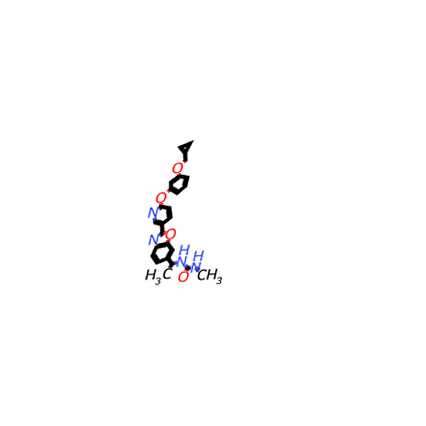 CNC(=O)NC(C)c1ccc2nc(-c3ccc(Oc4cccc(OCC5CC5)c4)nc3)oc2c1